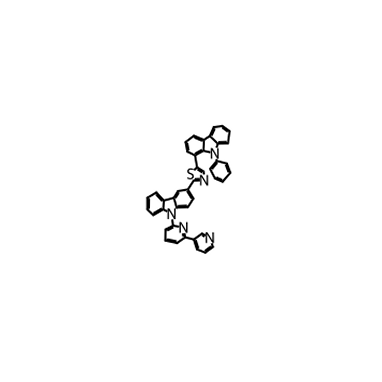 c1ccc(-n2c3ccccc3c3cccc(-c4cnc(-c5ccc6c(c5)c5ccccc5n6-c5cccc(-c6cccnc6)n5)s4)c32)cc1